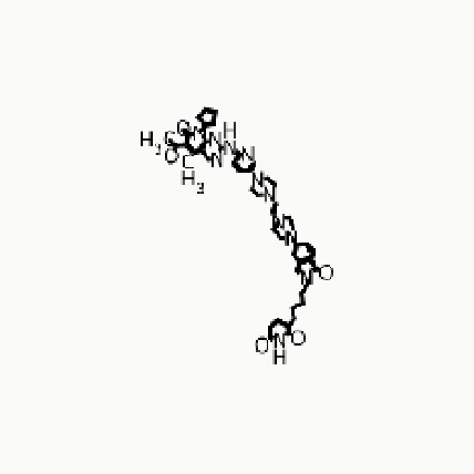 CC(=O)c1c(C)c2cnc(Nc3ccc(N4CCN(CCN5CCN(c6ccc7c(c6)CN(CCCCCC6CCC(=O)NC6=O)C7=O)CC5)CC4)cn3)nc2n(C2CCCC2)c1=O